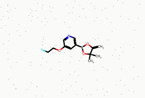 C=C1OB(c2cncc(OCCF)c2)OC1(C)C